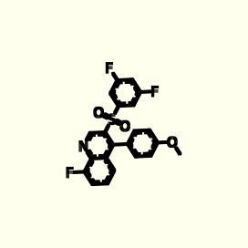 COc1ccc(-c2c(S(=O)(=O)c3cc(F)cc(F)c3)cnc3c(F)cccc23)cc1